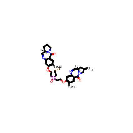 C=C1C[C@H]2C=Nc3cc(OCCP(=O)(CCS)CCOc4cc5c(cc4OC)C(=O)N4CCC[C@H]4C=N5)c(OC)cc3C(=O)N2C1